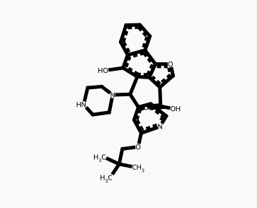 CC(C)(C)COc1cc(C(c2c(O)c3ccccc3c3occ(C(=O)O)c23)N2CCNCC2)ccn1